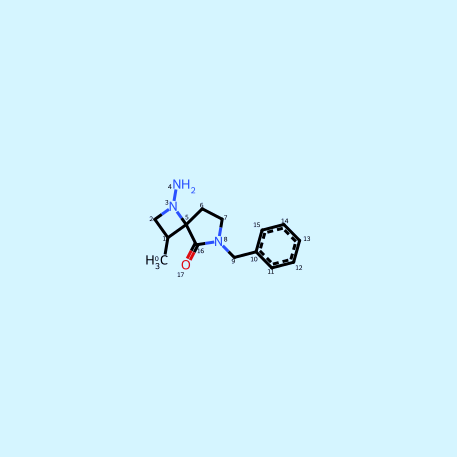 CC1CN(N)C12CCN(Cc1ccccc1)C2=O